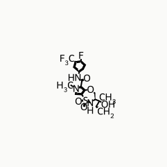 C=C[C@@](C)(O)[C@@H]1COc2c(cn(C)c2C(=O)Nc2ccc(F)c(C(F)(F)F)c2)S(=O)(=O)N1